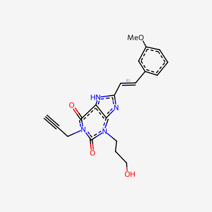 C#CCn1c(=O)c2[nH]c(/C=C/c3cccc(OC)c3)nc2n(CCCO)c1=O